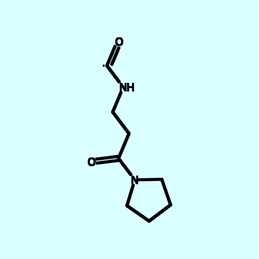 O=[C]NCCC(=O)N1CCCC1